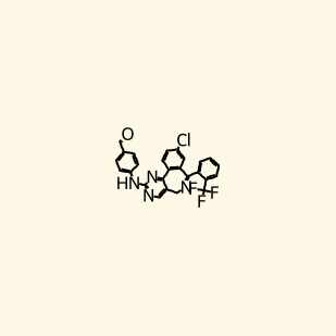 O=Cc1ccc(Nc2ncc3c(n2)-c2ccc(Cl)cc2C(c2ccccc2C(F)(F)F)=NC3)cc1